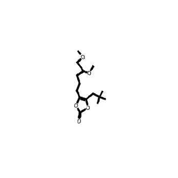 COCC(CCCc1oc(=O)oc1CC(C)(C)C)OC